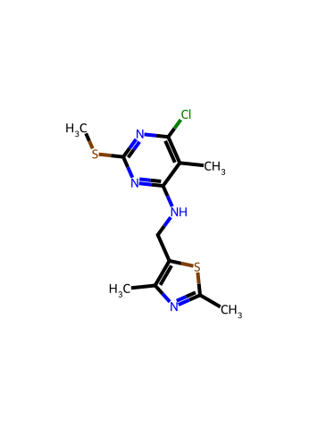 CSc1nc(Cl)c(C)c(NCc2sc(C)nc2C)n1